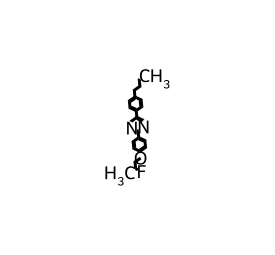 CCCCc1ccc(-c2cnc(-c3ccc(OCC(C)F)cc3)nc2)cc1